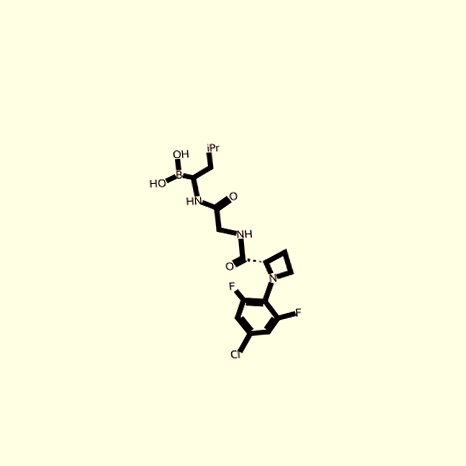 CC(C)CC(NC(=O)CNC(=O)[C@@H]1CCN1c1c(F)cc(Cl)cc1F)B(O)O